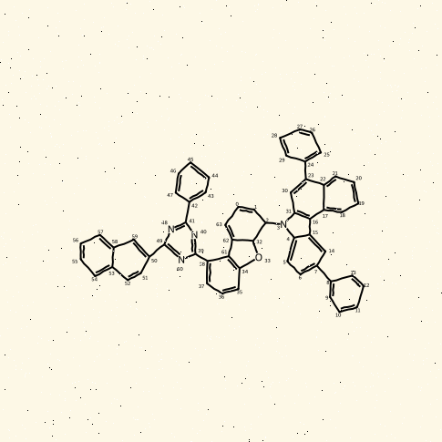 C1=CC(n2c3ccc(-c4ccccc4)cc3c3c4ccccc4c(-c4ccccc4)cc32)C2Oc3cccc(-c4nc(-c5ccccc5)nc(-c5ccc6ccccc6c5)n4)c3C2=C1